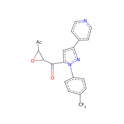 CC(=O)C1OC1C(=O)c1cc(-c2ccncc2)nn1-c1ccc(C(F)(F)F)cc1